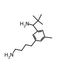 Cc1cc(CCCCN)cc(C(N)C(C)(C)C)c1